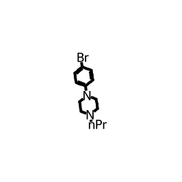 CCCN1CCN(c2ccc(Br)cc2)CC1